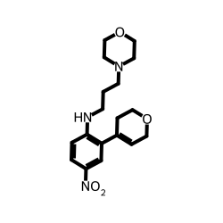 O=[N+]([O-])c1ccc(NCCCN2CCOCC2)c(C2=CCOCC2)c1